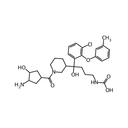 Cc1cccc(Oc2c(Cl)cccc2C(O)(CCCNC(=O)O)C2CCCN(C(=O)C3CC(N)C(O)C3)C2)c1